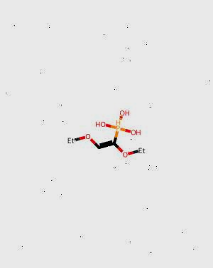 CCOC=C(OCC)[PH](O)(O)O